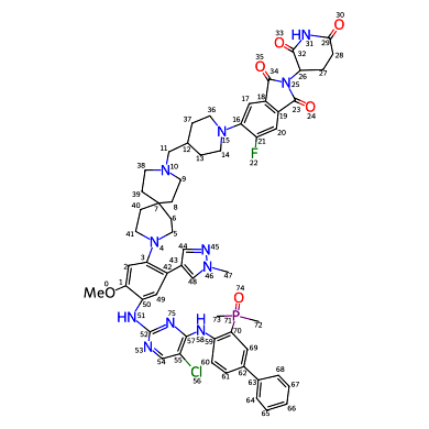 COc1cc(N2CCC3(CCN(CC4CCN(c5cc6c(cc5F)C(=O)N(C5CCC(=O)NC5=O)C6=O)CC4)CC3)CC2)c(-c2cnn(C)c2)cc1Nc1ncc(Cl)c(Nc2ccc(-c3ccccc3)cc2P(C)(C)=O)n1